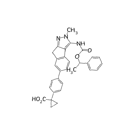 CC(OC(=O)Nc1c2c(nn1C)Cc1cc(-c3ccc(C4(C(=O)O)CC4)cc3)ccc1-2)c1ccccc1